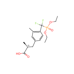 CCOP(=O)(OCC)C(F)(F)c1ccc(C[C@H](C)C(=O)O)cc1C